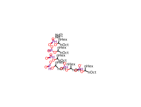 CCCCCCCCC(CCCCCC)O[PH](=O)[O-].CCCCCCCCC(CCCCCC)O[PH](=O)[O-].CCCCCCCCC(CCCCCC)O[PH](=O)[O-].CCCCCCCCC(CCCCCC)O[PH](=O)[O-].CCCCCCCCC(CCCCCC)O[PH](=O)[O-].CCCCCCCCC(CCCCCC)O[PH](=O)[O-].[Nd+3].[Nd+3]